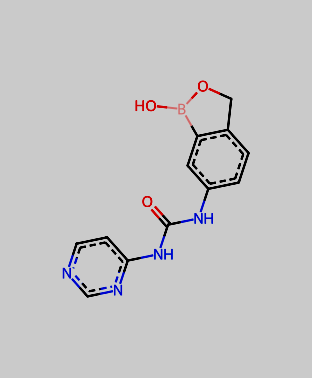 O=C(Nc1ccc2c(c1)B(O)OC2)Nc1ccncn1